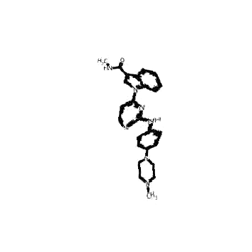 CNC(=O)c1cn(-c2ccnc(Nc3ccc(N4CCN(C)CC4)cc3)n2)c2ccccc12